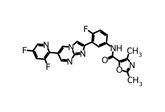 Cc1nc(C)c(C(=O)Nc2ccc(F)c(-c3cn4cc(-c5ncc(F)cc5F)cnc4n3)c2)o1